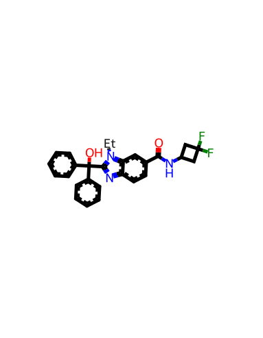 CCn1c(C(O)(c2ccccc2)c2ccccc2)nc2ccc(C(=O)NC3CC(F)(F)C3)cc21